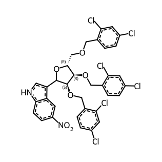 O=[N+]([O-])c1ccc2[nH]cc(C3O[C@H](COCc4ccc(Cl)cc4Cl)[C@@H](OCc4ccc(Cl)cc4Cl)[C@H]3OCc3ccc(Cl)cc3Cl)c2c1